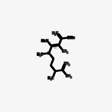 C=C(NC)/C(C)=C(\NC)N(C)CCC(C)C(=C)C